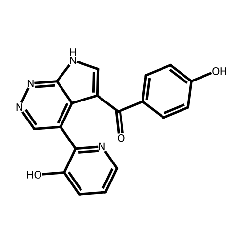 O=C(c1ccc(O)cc1)c1c[nH]c2nncc(-c3ncccc3O)c12